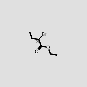 CCOC(=O)[C@H](Br)CC